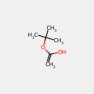 C=C(O)OC(C)(C)C